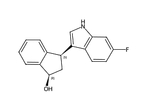 O[C@@H]1C[C@H](c2c[nH]c3cc(F)ccc23)c2ccccc21